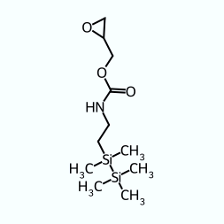 C[Si](C)(C)[Si](C)(C)CCNC(=O)OCC1CO1